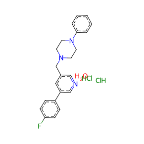 Cl.Cl.Fc1ccc(-c2cncc(CN3CCN(c4ccccc4)CC3)c2)cc1.O